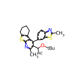 CC(=O)C(OC(C)(C)C)c1c(C)nc2sc3c(c2c1-c1ccc2nc(C)sc2c1)CCCC3